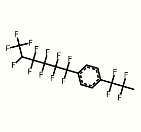 CC(F)(F)C(F)(F)c1ccc(C(F)(F)C(F)(F)C(F)(F)C(F)(F)C(F)C(F)(F)F)cc1